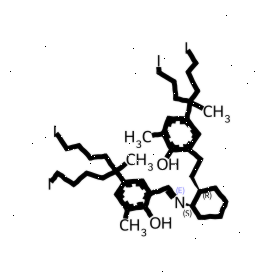 Cc1cc(C(C)(CCCCI)CCCCI)cc(/C=N/[C@H]2CCCC[C@@H]2CCc2cc(C(C)(CCCI)CCCI)cc(C)c2O)c1O